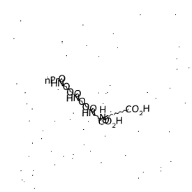 CCCC(=O)NCCOCCOCCC(=O)NCCOCCOCCC(=O)NCCCC[C@H](NC(=O)CCCCCCCCCCC(=O)O)C(=O)O